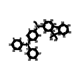 CN(c1ccc(N(c2ccccc2)c2ccccc2)cc1)c1ccc2c(c1)C(C)(C)c1ccccc1-2